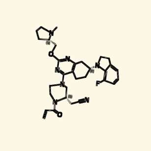 C=CC(=O)N1CCN(c2nc(OC[C@@H]3CCCN3C)nc3c2CC[C@@H](N2CCc4cccc(F)c42)C3)C[C@@H]1CC#N